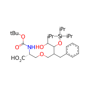 CC(O)C(O[Si](C(C)C)(C(C)C)C(C)C)C(COC[C@@H](NC(=O)OC(C)(C)C)C(=O)O)Cc1ccccc1